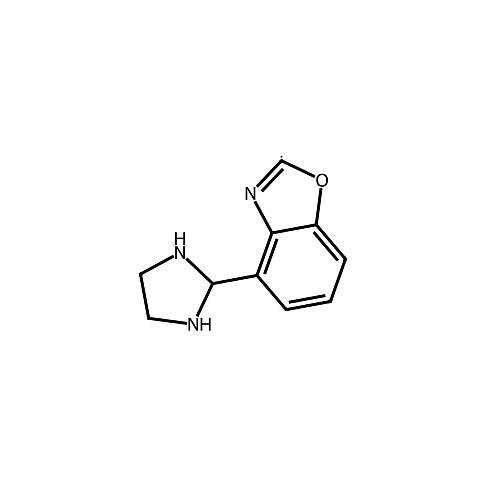 [c]1nc2c(C3NCCN3)cccc2o1